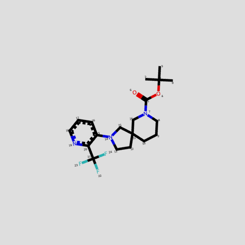 CC(C)(C)OC(=O)N1CCCC2(CCN(c3cccnc3C(F)(F)F)C2)C1